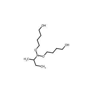 CCC(C)N(OCCCCO)OCCCCO